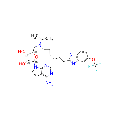 CC(C)N(C[C@H]1O[C@@H](n2ccc3c(N)ncnc32)[C@H](O)[C@@H]1O)[C@H]1C[C@@H](CCCc2nc3cc(OC(F)(F)F)ccc3[nH]2)C1